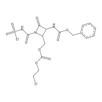 O=C(NC1C(=O)N(C(=O)NS(=O)(=O)Cl)C1COC(=O)OCCCl)OCc1ccccc1